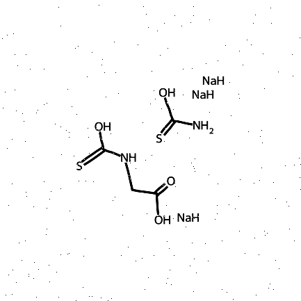 NC(O)=S.O=C(O)CNC(O)=S.[NaH].[NaH].[NaH]